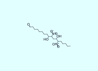 CCCCCC(C(O)CC(C(O)CCCCCCCC=O)[N+](=O)[O-])[N+](=O)[O-]